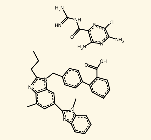 CCCc1nc2c(C)cc(-c3nc4ccccc4n3C)cc2n1Cc1ccc(-c2ccccc2C(=O)O)cc1.N=C(N)NC(=O)c1nc(Cl)c(N)nc1N